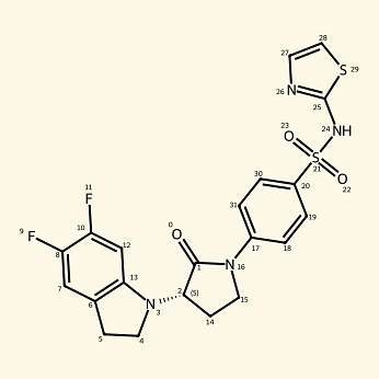 O=C1[C@@H](N2CCc3cc(F)c(F)cc32)CCN1c1ccc(S(=O)(=O)Nc2nccs2)cc1